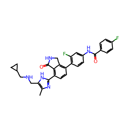 Cc1nc(-c2ccc(-c3ccc(NC(=O)c4ccc(F)cc4)cc3F)c3c2C(=O)NC3)[nH]c1CNCC1CC1